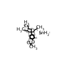 CCCCC(CCCC)(CCCC)c1ccc(OC(C)=O)cc1.[SnH2]